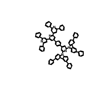 c1ccc(-c2ccc3c(c2)c2cc(-c4ccccc4)ccc2n3-c2cc(-c3ccc(-c4cc(-c5cc(-c6ccccc6)nc(-c6ccccc6)c5)nc(-c5cc(-c6ccccc6)nc(-c6ccccc6)c5)c4)cc3)cc(-n3c4ccc(-c5ccccc5)cc4c4cc(-c5ccccc5)ccc43)n2)cc1